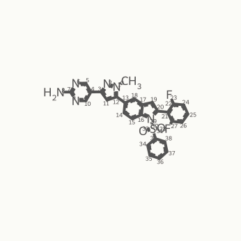 Cn1nc(-c2cnc(N)nc2)cc1-c1ccc2c(c1)cc(-c1c(F)cccc1F)n2S(=O)(=O)c1ccccc1